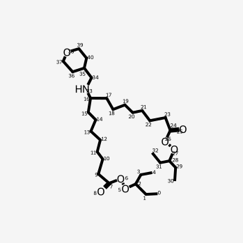 CCC(CC)OOC(=O)CCCCCCCC(CCCCCCCC(=O)OOC(CC)CC)NCC1CCOCC1